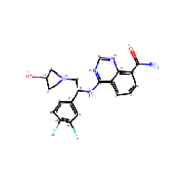 NC(=O)c1cccc2c(N[C@H](CN3CC(O)C3)c3ccc(F)c(F)c3)ncnc12